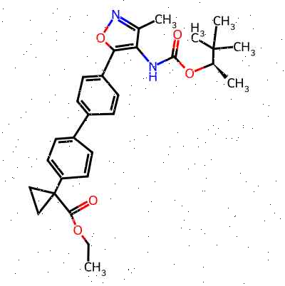 CCOC(=O)C1(c2ccc(-c3ccc(-c4onc(C)c4NC(=O)O[C@H](C)C(C)(C)C)cc3)cc2)CC1